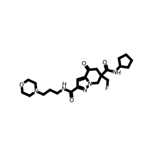 O=C(NCCCN1CCOCC1)c1cc2n(n1)CC(CF)(C(=O)NC1CCCC1)CC2=O